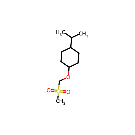 CC(C)C1CCC(OCS(C)(=O)=O)CC1